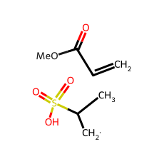 C=CC(=O)OC.[CH2]C(C)S(=O)(=O)O